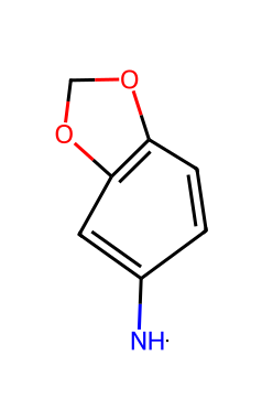 [NH]c1ccc2c(c1)OCO2